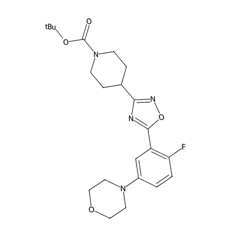 CC(C)(C)OC(=O)N1CCC(c2noc(-c3cc(N4CCOCC4)ccc3F)n2)CC1